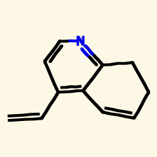 C=Cc1ccnc2c1C=CCC2